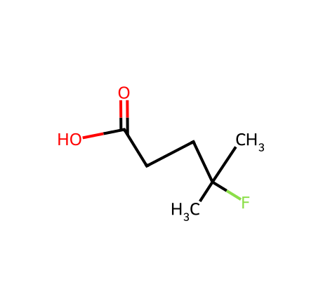 CC(C)(F)CCC(=O)O